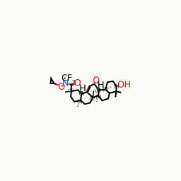 CC1(C)C2CC[C@]3(C)[C@H](C(=O)C=C4[C@@H]5C[C@@](C)(C(=O)N(OC6CC6)C(F)(F)F)CC[C@]5(C)CC[C@]43C)[C@@]2(C)CC[C@@H]1O